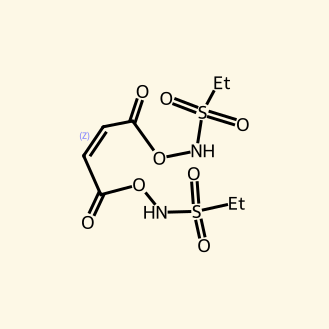 CCS(=O)(=O)NOC(=O)/C=C\C(=O)ONS(=O)(=O)CC